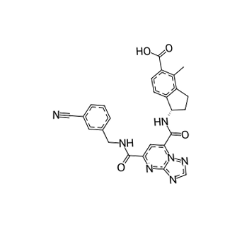 Cc1c(C(=O)O)ccc2c1CC[C@@H]2NC(=O)c1cc(C(=O)NCc2cccc(C#N)c2)nc2ncnn12